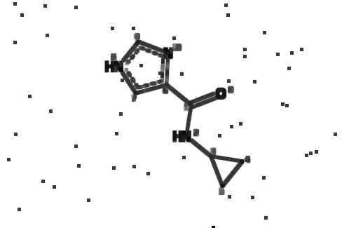 O=C(NC1CC1)c1c[nH]cn1